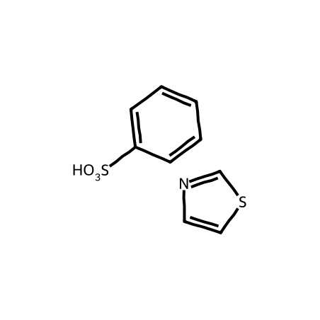 O=S(=O)(O)c1ccccc1.c1cscn1